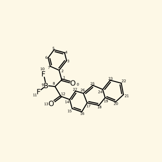 O=C(c1ccccc1)C(B(F)F)C(=O)c1ccc2cc3ccccc3cc2c1